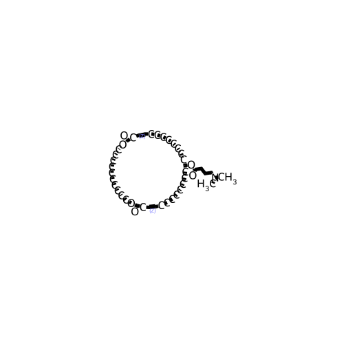 CN(C)CCCC(=O)OC1CCCCCCCC/C=C\CC(=O)OCCCCCCCCCCOC(=O)C/C=C\CCCCCCCC1